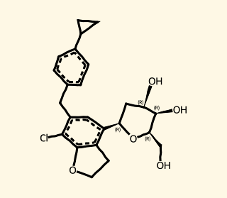 OC[C@H]1O[C@@H](c2cc(Cc3ccc(C4CC4)cc3)c(Cl)c3c2CCO3)C[C@@H](O)[C@H]1O